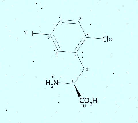 N[C@@H](Cc1cc(I)ccc1Cl)C(=O)O